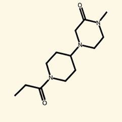 CCC(=O)N1CCC(N2CCN(C)C(=O)C2)CC1